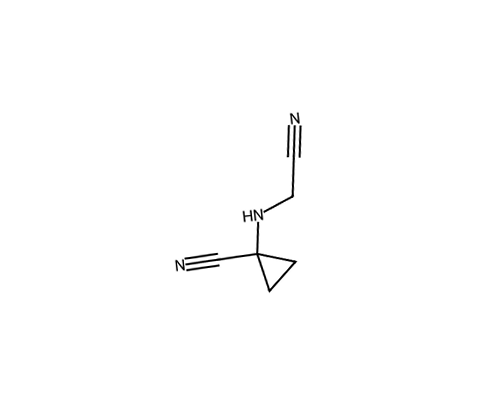 N#CCNC1(C#N)CC1